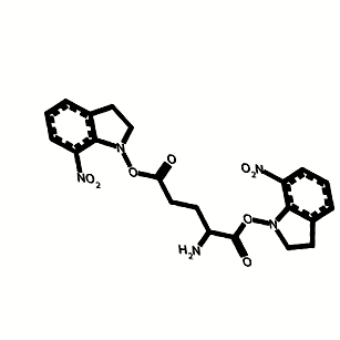 NC(CCC(=O)ON1CCc2cccc([N+](=O)[O-])c21)C(=O)ON1CCc2cccc([N+](=O)[O-])c21